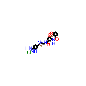 N=C(NCl)c1ccc(-c2ncc(CNC(=O)c3ccc4c(c3)NC(=O)c3ccccc3S4(=O)=O)s2)cc1